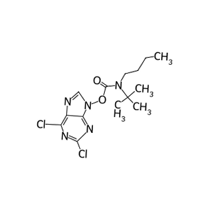 CCCCN(C(=O)On1cnc2c(Cl)nc(Cl)nc21)C(C)(C)C